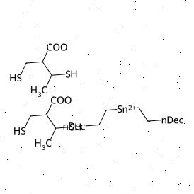 CC(S)C(CS)C(=O)[O-].CC(S)C(CS)C(=O)[O-].CCCCCCCCCCC[CH2][Sn+2][CH2]CCCCCCCCCCC